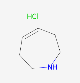 C1=CCCNCC1.Cl